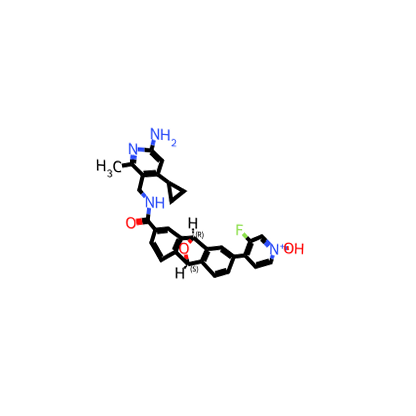 Cc1nc(N)cc(C2CC2)c1CNC(=O)c1ccc2c(c1)[C@@H]1O[C@H]2c2ccc(-c3cc[n+](O)cc3F)cc21